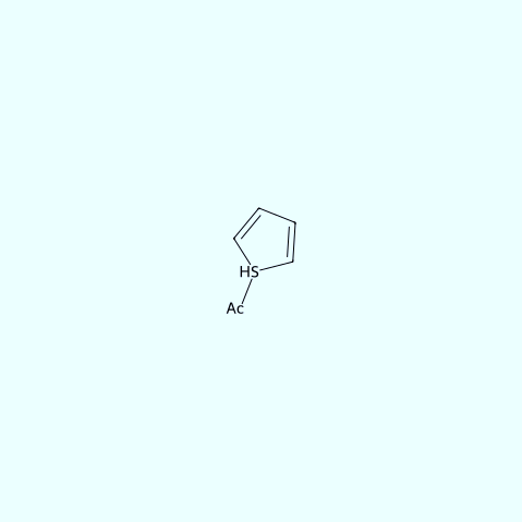 CC(=O)[SH]1C=CC=C1